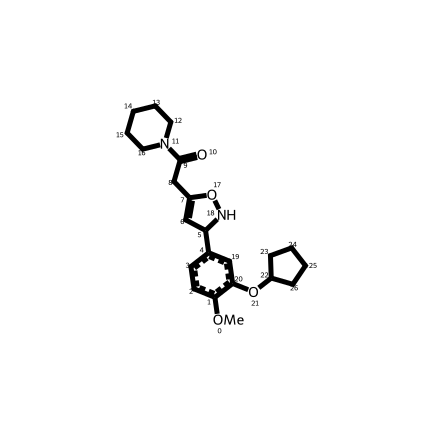 COc1ccc(C2C=C(CC(=O)N3CCCCC3)ON2)cc1OC1CCCC1